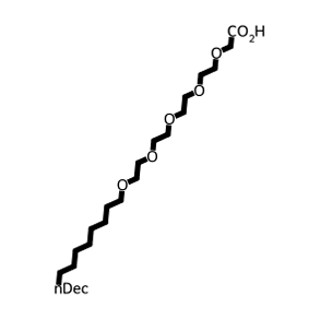 CCCCCCCCCCCCCCCCCCOCCOCCOCCOCCOCC(=O)O